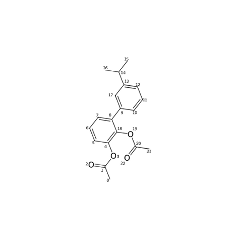 CC(=O)Oc1cccc(-c2cccc(C(C)C)c2)c1OC(C)=O